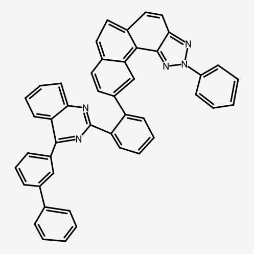 c1ccc(-c2cccc(-c3nc(-c4ccccc4-c4ccc5ccc6ccc7nn(-c8ccccc8)nc7c6c5c4)nc4ccccc34)c2)cc1